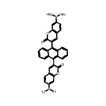 CCCCN(CCCC)c1ccc2cc(-c3c4ccccc4c(-c4cc5ccc(N(CC)CC)cc5oc4=O)c4ccccc34)c(=O)oc2c1